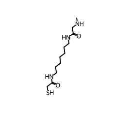 CNCC(=O)NCCCCCCCNC(=O)CS